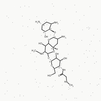 CNCC(=O)N[C@@H]1C(CO)O[C@H](OC2O[C@H]3CC(N)[C@@H](O[C@@H]4C(N)C[C@@H](N)C[C@H]4O)OC3C(O)C2NC)C(O)C1O